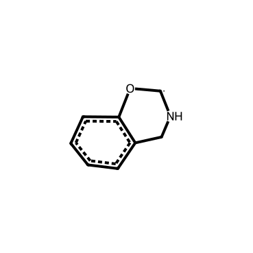 [CH]1NCc2ccccc2O1